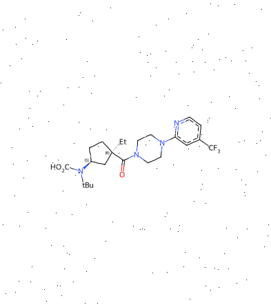 CC[C@@]1(C(=O)N2CCN(c3cc(C(F)(F)F)ccn3)CC2)CC[C@H](N(C(=O)O)C(C)(C)C)C1